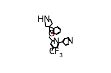 FC(F)(F)c1cc(COCC2(c3ccccc3)CCNCC2)nc(-c2ccncc2)c1